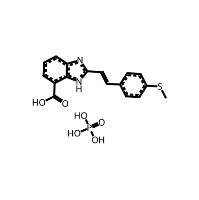 CSc1ccc(C=Cc2nc3cccc(C(=O)O)c3[nH]2)cc1.O=P(O)(O)O